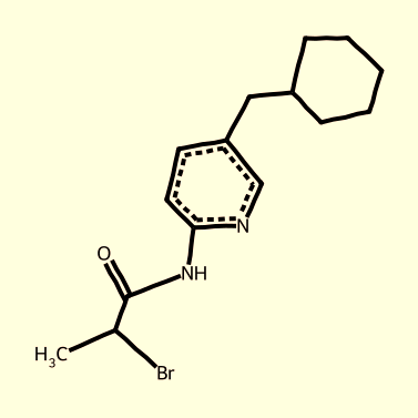 CC(Br)C(=O)Nc1ccc(CC2CCCCC2)cn1